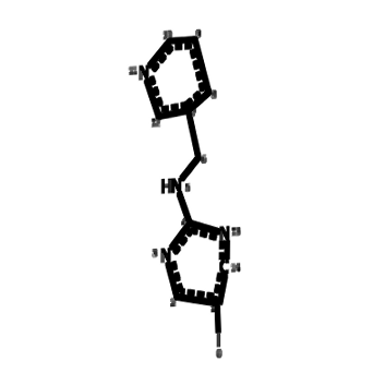 Ic1cnc(NCc2cccnc2)nc1